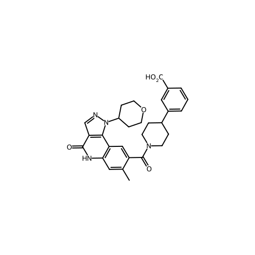 Cc1cc2[nH]c(=O)c3cnn(C4CCOCC4)c3c2cc1C(=O)N1CCC(c2cccc(C(=O)O)c2)CC1